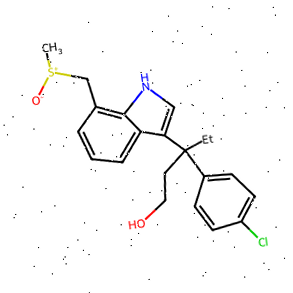 CCC(CCO)(c1ccc(Cl)cc1)c1c[nH]c2c(C[S+](C)[O-])cccc12